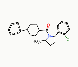 O=C(O)[C@@H]1CC[C@H](c2ccccc2Cl)N1C(=O)C1CCC(c2ccccc2)CC1